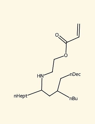 C=CC(=O)OCCNC(CCCCCCC)CC(CCCC)CCCCCCCCCCC